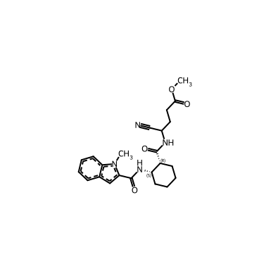 COC(=O)CCC(C#N)NC(=O)[C@@H]1CCCC[C@@H]1NC(=O)c1cc2ccccc2n1C